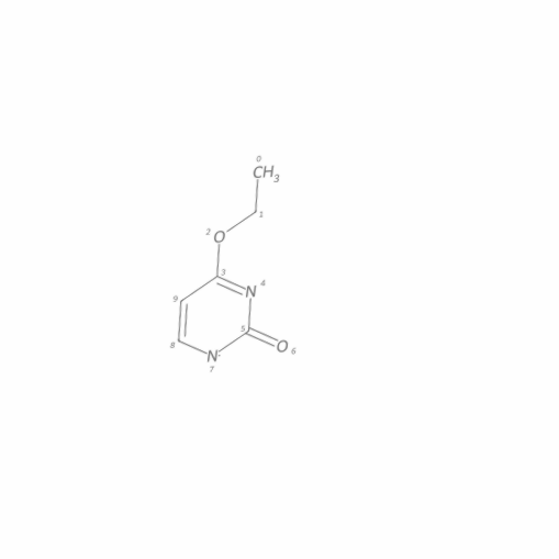 CCOC1=NC(=O)[N]C=C1